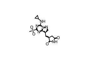 CS(=O)(=O)c1nc(NC2CC2)n2ncc(C=C3CC(=O)NC3=O)c2n1